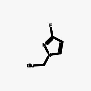 CC(C)(C)Cn1c[c]c(F)n1